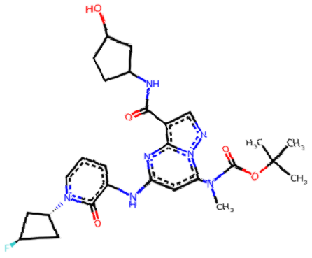 CN(C(=O)OC(C)(C)C)c1cc(Nc2cccn([C@H]3C[C@H](F)C3)c2=O)nc2c(C(=O)NC3CCC(O)C3)cnn12